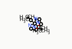 CC(C)(C)c1ccc(-c2c(C#N)c(-n3c4ccccc4c4ccccc43)c(-c3ccc(C(C)(C)C)cc3)c(-n3c4ccccc4c4ccccc43)c2C#N)cc1